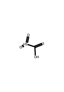 O=[SH](=O)C(O)=S